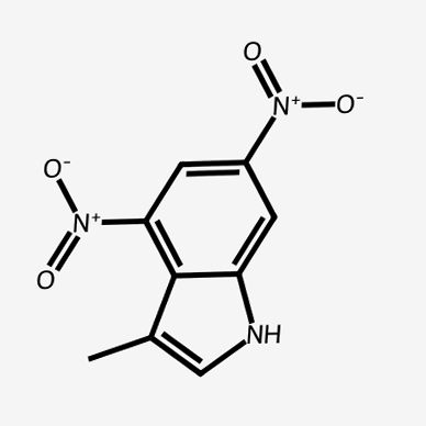 Cc1c[nH]c2cc([N+](=O)[O-])cc([N+](=O)[O-])c12